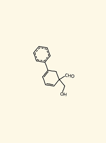 O=CC1(CO)C=CC=C(c2ccccc2)C1